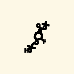 CC(C)(O)CO[C@@H]1CCN(C(=O)OC(C)(C)C)C[C@H]1F